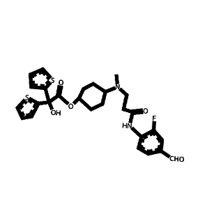 CN(CCC(=O)Nc1ccc(C=O)cc1F)C1CCC(OC(=O)C(O)(c2cccs2)c2cccs2)CC1